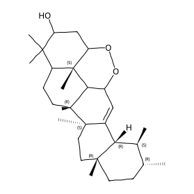 C[C@H]1[C@H](C)CC[C@]2(C)CC[C@]3(C)C(=CC4OOC5CC(O)C(C)(C)C6CC[C@]3(C)C4[C@@]56C)[C@H]12